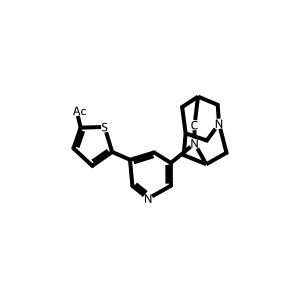 CC(=O)c1ccc(-c2cncc(N3CC4CC5CC3CN(C5)C4)c2)s1